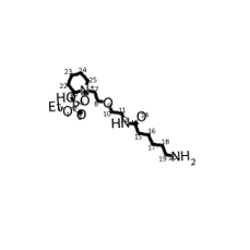 CCOP(=O)(O)O[N+]1(CCOCCNC(=O)CCCCCN)CCCCC1